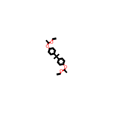 C=COC(C)Oc1ccc(C(C)(C)c2ccc(OC(C)OC=C)cc2)cc1